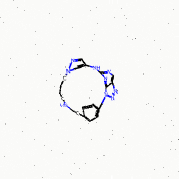 c1cc2ccc1CCNCCCCn1cc(cn1)Nc1ncc3nnn-2c3n1